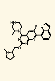 CC1CNCCN1c1nc(OCC2CCCN2C)nc2nc(-c3cccc4ccoc34)c(F)cc12